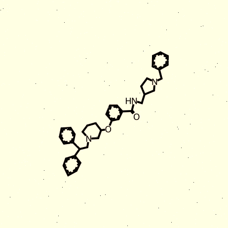 O=C(NCC1CCN(Cc2ccccc2)C1)c1cccc(OC2CCCN(CC(c3ccccc3)c3ccccc3)C2)c1